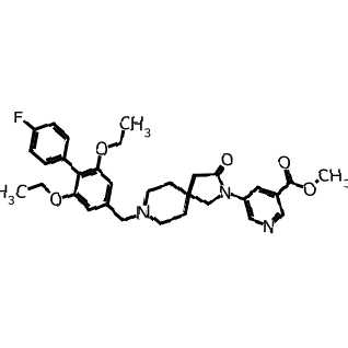 CCOc1cc(CN2CCC3(CC2)CC(=O)N(c2cncc(C(=O)OC)c2)C3)cc(OCC)c1-c1ccc(F)cc1